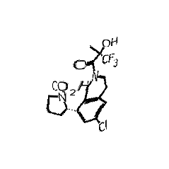 C[C@@](O)(C(=O)N1CCc2cc(Cl)cc([C@@H]3CCCN3C(=O)O)c2C1)C(F)(F)F